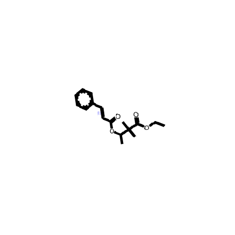 CCOC(=O)C(C)(C)C(C)OC(=O)/C=C/c1ccccc1